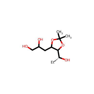 CC[C@@H](O)C1OC(C)(C)OC1CC(O)CO